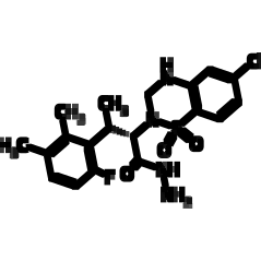 Cc1ccc(F)c(C(C)[C@@H](C(=O)NN)N2CNc3cc(Cl)ccc3S2(=O)=O)c1C